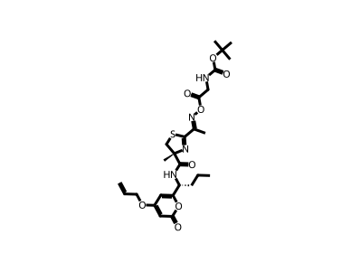 C=CCOc1cc([C@@H](CCC)NC(=O)[C@]2(C)CSC(/C(C)=N/OC(=O)CNC(=O)OC(C)(C)C)=N2)oc(=O)c1